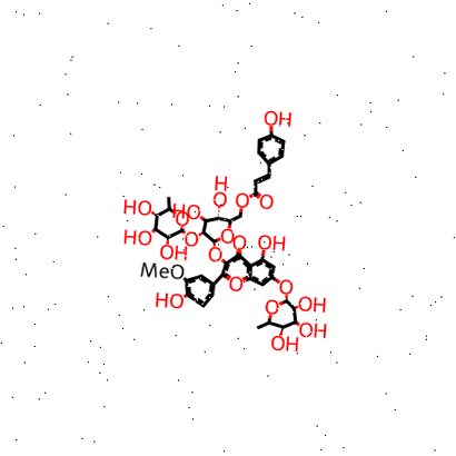 COc1cc(-c2oc3cc(O[C@@H]4OC(C)[C@H](O)C(O)[C@@H]4O)cc(O)c3c(=O)c2O[C@@H]2OC(COC(=O)/C=C/c3ccc(O)cc3)[C@@H](O)C(O)[C@@H]2OC2OC(C)[C@H](O)C(O)[C@@H]2O)ccc1O